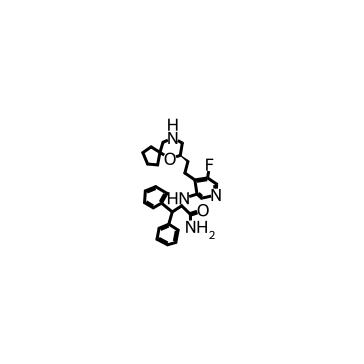 NC(=O)[C@@H](Nc1cncc(F)c1CC[C@@H]1CNCC2(CCCC2)O1)C(c1ccccc1)c1ccccc1